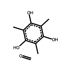 C=O.Cc1c(O)c(C)c(O)c(C)c1O